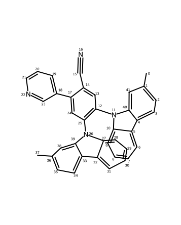 Cc1ccc2c3ccccc3n(-c3cc(C#N)c(-c4cccnc4)cc3-n3c4ccccc4c4ccc(C)cc43)c2c1